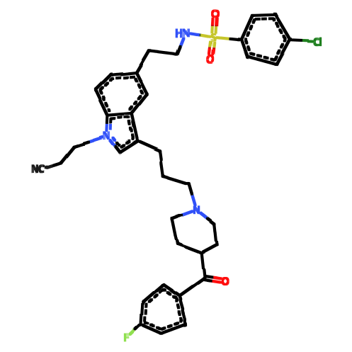 N#CCCn1cc(CCCN2CCC(C(=O)c3ccc(F)cc3)CC2)c2cc(CCNS(=O)(=O)c3ccc(Cl)cc3)ccc21